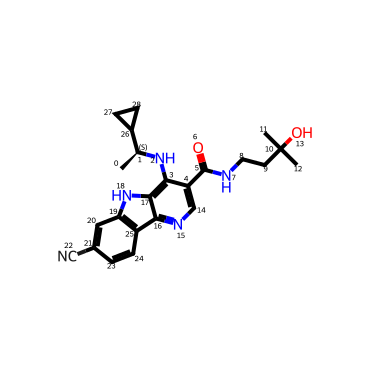 C[C@H](Nc1c(C(=O)NCCC(C)(C)O)cnc2c1[nH]c1cc(C#N)ccc12)C1CC1